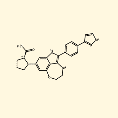 NC(=O)[C@@H]1CCCN1c1cc2c3c(c(-c4ccc(-c5cc[nH]n5)cc4)[nH]c3c1)NCCO2